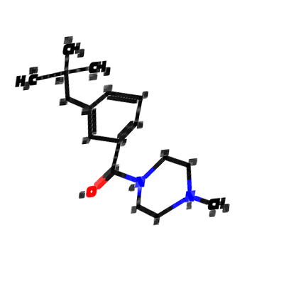 CN1CCN(C(=O)c2cccc(CC(C)(C)C)c2)CC1